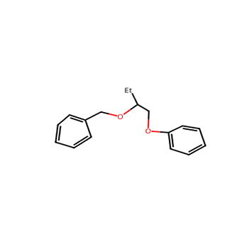 [CH2]CC(COc1ccccc1)OCc1ccccc1